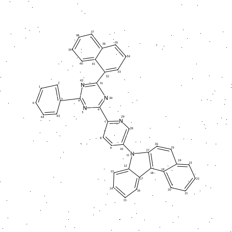 c1ccc(-c2nc(-c3ccc(-n4c5ccccc5c5c6ccccc6ccc54)cn3)nc(-c3cccc4ccccc34)n2)cc1